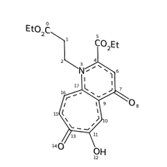 CCOC(=O)CCn1c(C(=O)OCC)cc(=O)c2cc(O)c(=O)ccc21